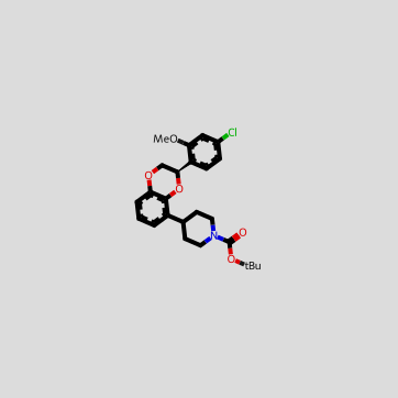 COc1cc(Cl)ccc1[C@@H]1COc2cccc(C3CCN(C(=O)OC(C)(C)C)CC3)c2O1